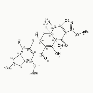 CCCCOc1noc2c1C(=O)[C@@]1(O)C(O)=C3C(=O)c4c(c(F)c5c(c4OCCCC)CN(CCCC)C5)C[C@H]3C[C@H]1[C@@H]2N